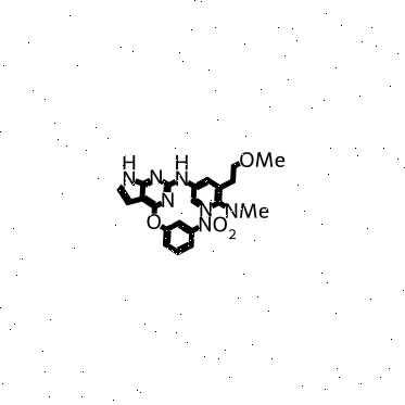 CNc1ncc(Nc2nc(Oc3cccc([N+](=O)[O-])c3)c3cc[nH]c3n2)cc1CCOC